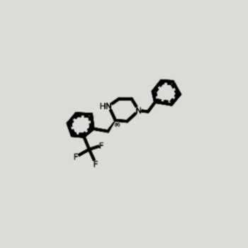 FC(F)(F)c1ccccc1C[C@@H]1CN(Cc2ccccc2)CCN1